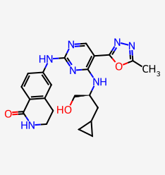 Cc1nnc(-c2cnc(Nc3ccc4c(c3)CCNC4=O)nc2N[C@H](CO)CC2CC2)o1